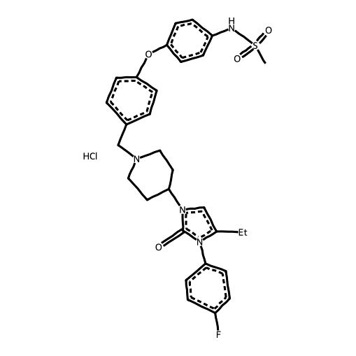 CCc1cn(C2CCN(Cc3ccc(Oc4ccc(NS(C)(=O)=O)cc4)cc3)CC2)c(=O)n1-c1ccc(F)cc1.Cl